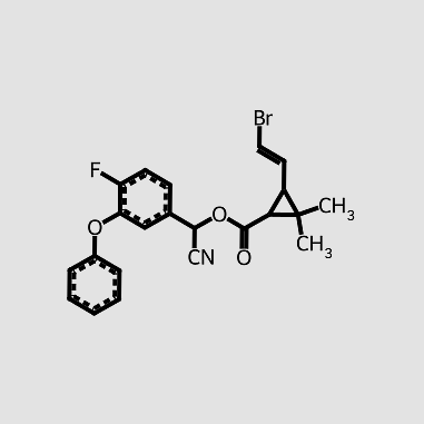 CC1(C)C(C=CBr)C1C(=O)OC(C#N)c1ccc(F)c(Oc2ccccc2)c1